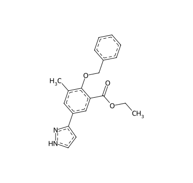 CCOC(=O)c1cc(-c2cc[nH]n2)cc(C)c1OCc1ccccc1